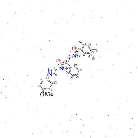 COc1ccc(NCCNC(=O)C(CNC(=O)c2cc(C)c(C)cc2C)c2ccccc2)cc1